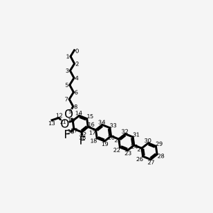 CCCCCCCCCOC1(OCC)C=CC(c2ccc(-c3ccc(-c4ccccc4)cc3)cc2)=C(F)C1F